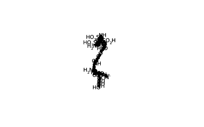 [N-]=[N+]=N[C@@H](F)OC1C[C@H](n2cc(C#CCNC(=O)CCCOCSSCCNC(=O)C3CC=C(C(=O)O)C(c4c5ccc(=N)c(S(=O)(=O)O)c-5oc5c4CCC(N)=C5S(=O)(=O)O)C3)c(N)nc2=O)O[C@@H]1COPOPOPO